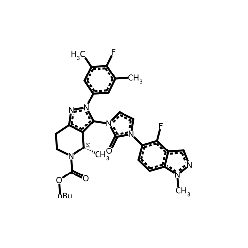 CCCCOC(=O)N1CCc2nn(-c3cc(C)c(F)c(C)c3)c(-n3ccn(-c4ccc5c(cnn5C)c4F)c3=O)c2[C@@H]1C